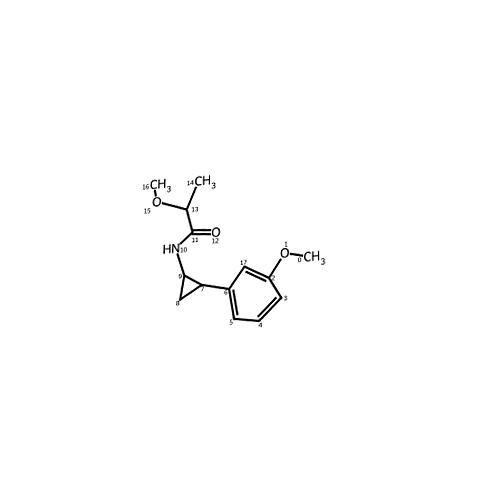 COc1cccc(C2CC2NC(=O)C(C)OC)c1